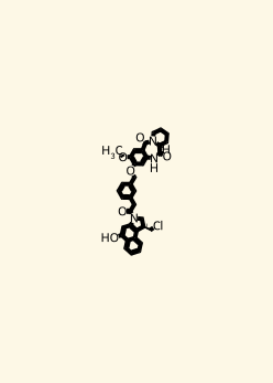 COc1cc2c(cc1OCc1cccc(CC(=O)N3C[C@@H](CCl)c4c3cc(O)c3ccccc43)c1)NC(=O)[C@@H]1CCCCN1C2=O